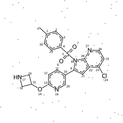 Cc1ccc(S(=O)(=O)n2c(-c3ccc(OC4CNC4)nc3)cc3c(Cl)ccnc32)cc1